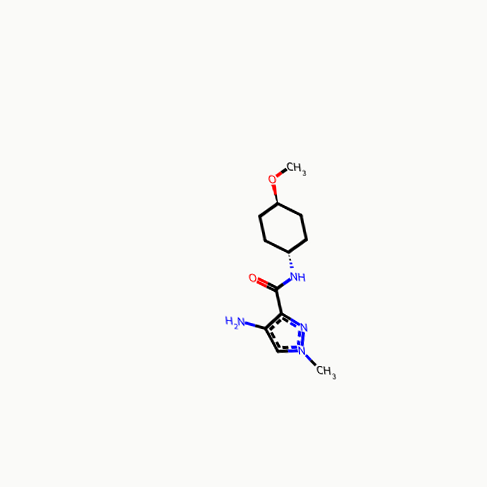 CO[C@H]1CC[C@H](NC(=O)c2nn(C)cc2N)CC1